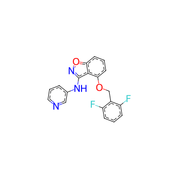 Fc1cccc(F)c1COc1cccc2onc(Nc3cccnc3)c12